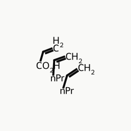 C=CC(=O)O.C=CCCC.C=CCCC